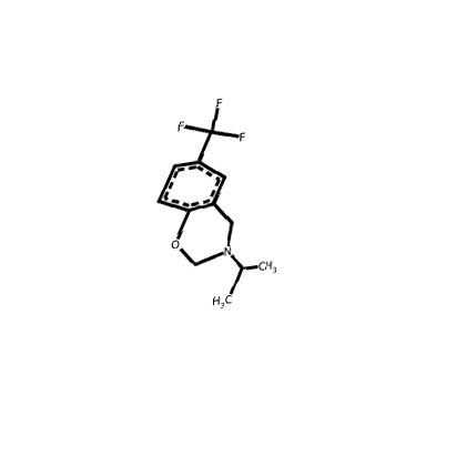 CC(C)N1COc2ccc(C(F)(F)F)cc2C1